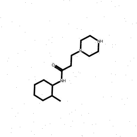 CC1CCCCC1NC(=O)CCN1CCNCC1